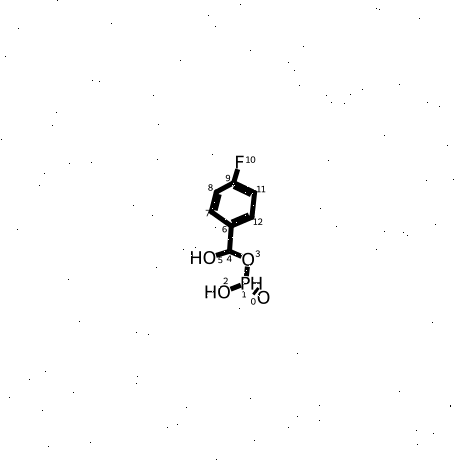 O=[PH](O)OC(O)c1ccc(F)cc1